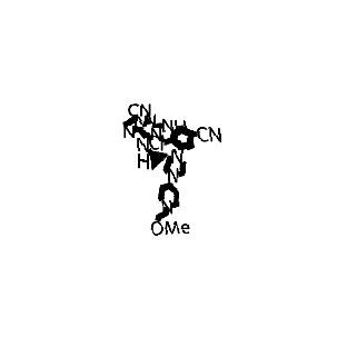 COCCN1CCC(N2CCN(c3cc(C#N)cc(Nc4nc(NC5CC5)c5ncc(C#N)n5n4)c3Cl)CC2)CC1